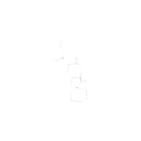 CCOC(=O)C(N)CC1CC2(CCCCC2)NC1=O